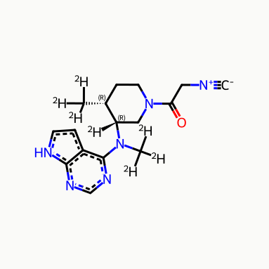 [2H]C([2H])([2H])[C@@H]1CCN(C(=O)C[N+]#[C-])C[C@]1([2H])N(c1ncnc2[nH]ccc12)C([2H])([2H])[2H]